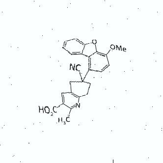 COc1ccc(C2(C#N)CCc3nc(C)c(C(=O)O)cc3C2)c2c1oc1ccccc12